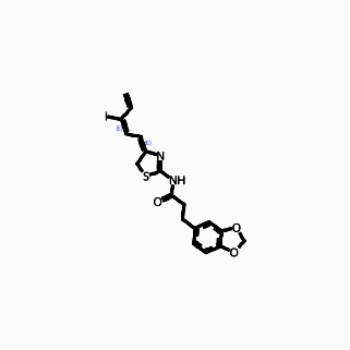 C=C/C(I)=C\C=C1/CSC(NC(=O)CCc2ccc3c(c2)OCO3)=N1